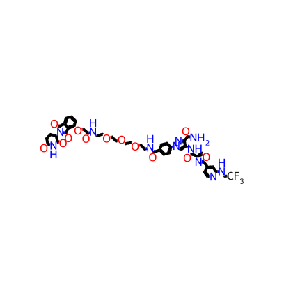 NC(=O)c1nn(-c2ccc(C(=O)NCCOCCOCCOCCNC(=O)COc3cccc4c3C(=O)N(C3CCC(=O)NC3=O)C4=O)cc2)cc1NC(=O)c1coc(-c2ccnc(NCC(F)(F)F)c2)n1